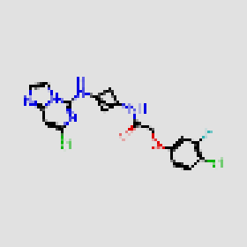 O=C(COc1ccc(Cl)c(F)c1)NC12CC(Nc3nc(Cl)cc4nccn34)(C1)C2